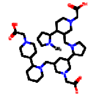 CN1CCCC1C1CCN(CC(=O)O)CC1CN1CCCC1C1CC(CN2CCCCC2C2CCN(CC(=O)O)CC2)CN(CC(=O)O)C1